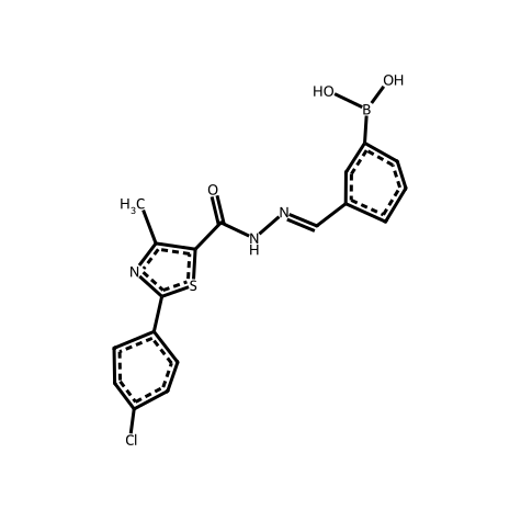 Cc1nc(-c2ccc(Cl)cc2)sc1C(=O)N/N=C/c1cccc(B(O)O)c1